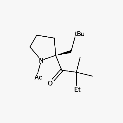 CCC(C)(C)C(=O)[C@@]1(CC(C)(C)C)CCCN1C(C)=O